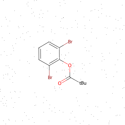 CC(C)(C)C(=O)Oc1c(Br)cccc1Br